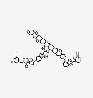 CN(C(=O)c1cc2cc(N3CC[C@@](O)(C(=O)NCc4cc(F)cc(F)c4)O3)ccc2[nH]1)C1C2CC3CC4CC5CN(c6cccc7c6ON(C6CCONO6)O7)CCC5OC4CC3CC2OC2CC3CC4OC5CCOCC5CC4OC3CC21